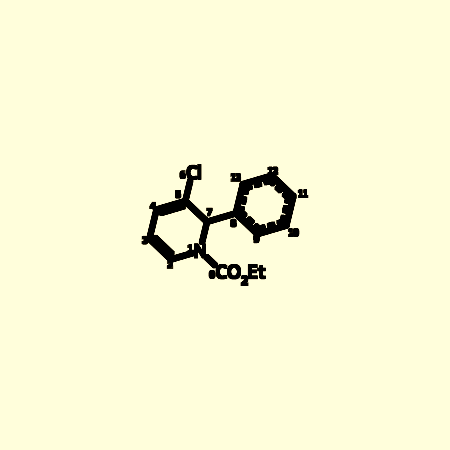 CCOC(=O)N1C=CC=C(Cl)C1c1ccccc1